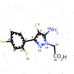 Nc1c(F)c(-c2ccc(F)cc2F)nn1CC(=O)O